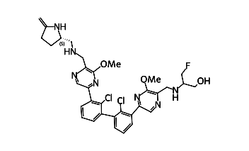 C=C1CC[C@@H](CNCc2ncc(-c3cccc(-c4cccc(-c5cnc(CNC(CO)CF)c(OC)n5)c4Cl)c3Cl)nc2OC)N1